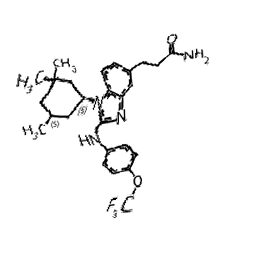 C[C@@H]1C[C@H](n2c(Nc3ccc(OC(F)(F)F)cc3)nc3cc(CCC(N)=O)ccc32)CC(C)(C)C1